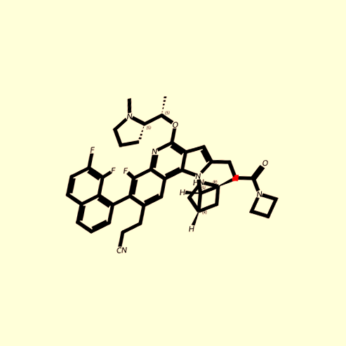 C[C@H](Oc1nc2c(F)c(-c3cccc4ccc(F)c(F)c34)c(CCC#N)cc2c2c1cc(CCC(=O)N1CCC1)n2[C@H]1[C@H]2CN[C@@H]1C2)[C@@H]1CCCN1C